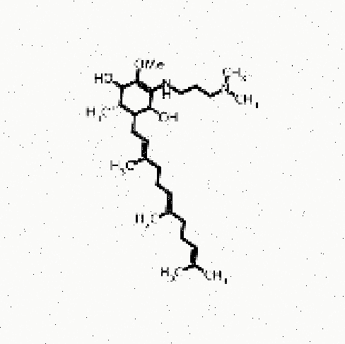 COC1=C(NCCCN(C)C)[C@@H](O)[C@@H](C/C=C(\C)CC/C=C(\C)CCC=C(C)C)[C@H](C)C1O